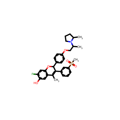 CC1=C(c2cccc(S(C)(=O)=O)c2)C(c2ccc(OCC(C)N3CCCC3C)cc2)Oc2cc(F)c(O)cc21